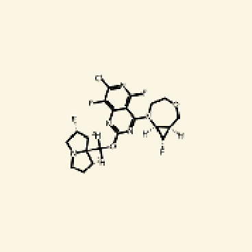 [2H]C([2H])(Oc1nc(N2CCOC[C@H]3[C@H](F)[C@H]32)c2c(F)nc(Cl)c(F)c2n1)[C@@]12CCCN1C[C@H](F)C2